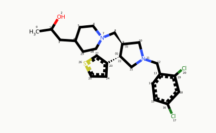 CC(O)CC1CCN(C[C@H]2CN(Cc3ccc(Cl)cc3Cl)C[C@@H]2c2ccsc2)CC1